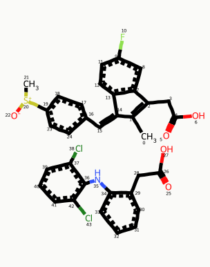 CC1=C(CC(=O)O)c2cc(F)ccc2/C1=C\c1ccc([S+](C)[O-])cc1.O=C(O)Cc1ccccc1Nc1c(Cl)cccc1Cl